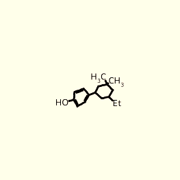 CCC1CC(c2ccc(O)cc2)CC(C)(C)C1